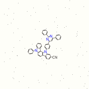 N#Cc1ccc2c3ccc4c(c5ccccc5n4-c4ccccc4)c3n(-c3ccc(-c4cc(-c5ccccc5)nc(-c5ccccc5)n4)cc3)c2c1